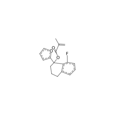 C=C(C)C(=O)OC1(c2ccco2)CCCc2cccc(F)c21